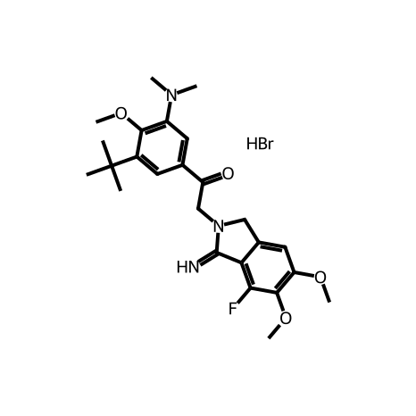 Br.COc1cc2c(c(F)c1OC)C(=N)N(CC(=O)c1cc(N(C)C)c(OC)c(C(C)(C)C)c1)C2